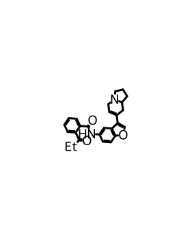 CCC(=O)c1ccccc1C(=O)Nc1ccc2occ(C3=CCN4CCCC4C3)c2c1